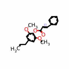 C=CCc1cc(OC)c(OC(=O)/C=C/c2ccccc2)c(OC)c1